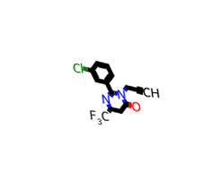 C#CCN1C(=O)CC(C(F)(F)F)N=C1c1cccc(Cl)c1